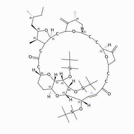 C=C1C2C[C@@H]3O[C@H](C[C@H](C)CC)[C@H](C)C3CC(=O)C[C@H]3CC[C@@H]4O[C@H]([C@@H](O[Si](C)(C)C(C)(C)C)[C@@H](O[Si](C)(C)C(C)(C)C)[C@H]4O3)[C@@H](O[Si](C)(C)C(C)(C)C)/C=C/C(=O)CCC3CC(=C)[C@H](CC[C@@H](C[C@H]1C)O2)O3